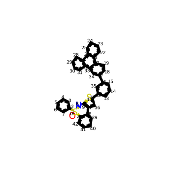 O=S1(c2ccccc2)=Nc2sc(-c3cccc(-c4ccc5c6ccccc6c6ccccc6c5c4)c3)cc2-c2ccccc21